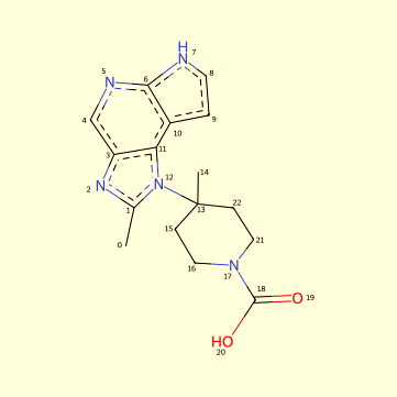 Cc1nc2cnc3[nH]ccc3c2n1C1(C)CCN(C(=O)O)CC1